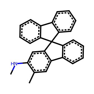 CNc1cc2c(cc1C)-c1ccccc1C21c2ccccc2-c2ccccc21